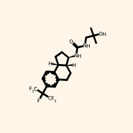 CC(C)(O)CNC(=O)N[C@@H]1CC[C@H]2c3ccc(C(F)(C(F)(F)F)C(F)(F)F)cc3CC[C@@H]12